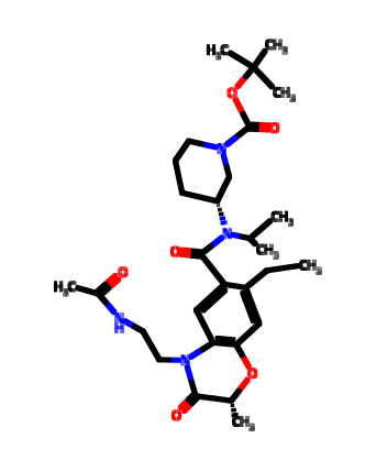 CCc1cc2c(cc1C(=O)N(C(C)C)[C@@H]1CCCN(C(=O)OC(C)(C)C)C1)N(CCNC(C)=O)C(=O)[C@@H](C)O2